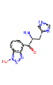 N[C@@H](Cc1c[nH]cn1)C(=O)c1cccc2c1nnn2O